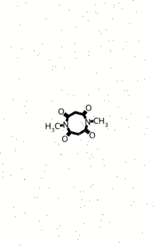 CN1C(=O)CC(=O)N(C)C(=O)CC1=O